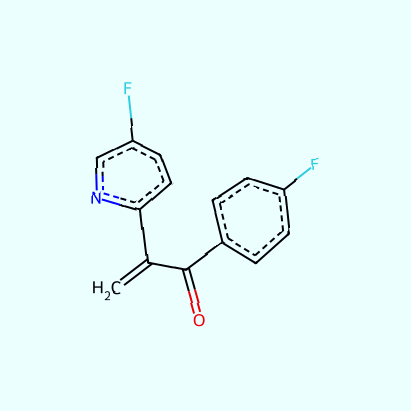 C=C(C(=O)c1ccc(F)cc1)c1ccc(F)cn1